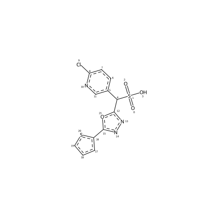 O=S(=O)(O)C(c1ccc(Cl)nc1)c1nnc(-c2cccs2)o1